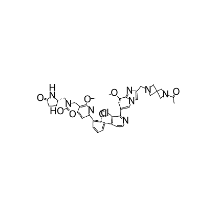 COc1nc(-c2cccc(-c3ccnc(-c4cc(OC)c5nc(CN6CC7(C6)CN(C(C)=O)C7)cn5c4)c3Cl)c2Cl)ccc1CN(C[C@@H]1CCC(=O)N1)C(=O)O